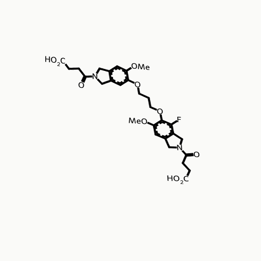 COc1cc2c(cc1OCCCOc1c(OC)cc3c(c1F)CN(C(=O)CCC(=O)O)C3)CN(C(=O)CCC(=O)O)C2